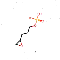 O=P(O)(O)OCCCC1CO1